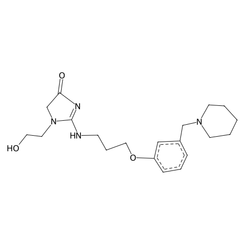 O=C1CN(CCO)C(NCCCOc2cccc(CN3CCCCC3)c2)=N1